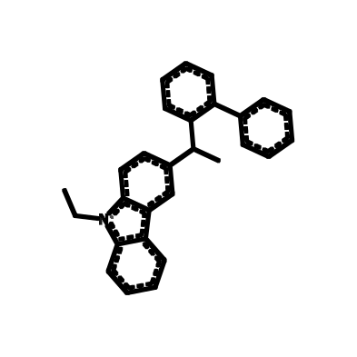 CCn1c2ccccc2c2cc(C(C)c3ccccc3-c3ccccc3)ccc21